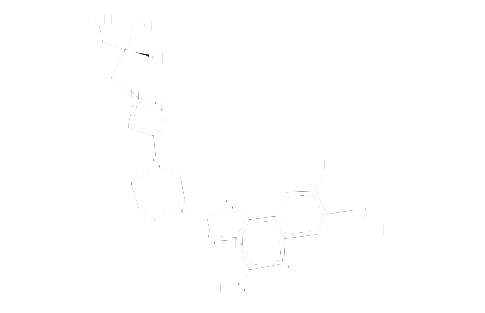 CC[C@](C)(O)Cn1cc(N2CCC[C@@H](c3nc4c5cc(F)c(OC)cc5nc(N)n4n3)C2)cn1